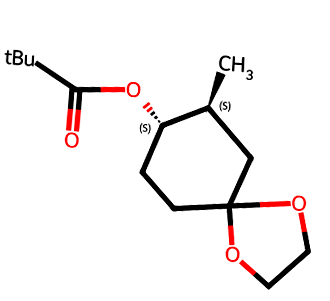 C[C@H]1CC2(CC[C@@H]1OC(=O)C(C)(C)C)OCCO2